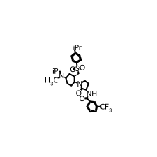 CC(C)c1ccc(S(=O)(=O)C[C@@H]2C[C@H](N(C)C(C)C)CC[C@@H]2N2CC[C@H](NC(=O)c3cccc(C(F)(F)F)c3)C2=O)cc1